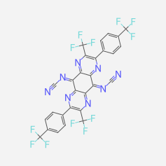 N#C/N=C1\c2nc(-c3ccc(C(F)(F)F)cc3)c(C(F)(F)F)nc2/C(=N/C#N)c2nc(-c3ccc(C(F)(F)F)cc3)c(C(F)(F)F)nc21